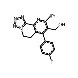 CC(C)c1nc2c(c(-c3ccc(F)cc3)c1CO)CCn1nnnc1-2